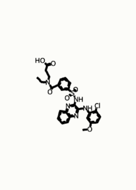 CCN(CCC(=O)O)C(=O)c1cccc(S(=O)(=O)Nc2nc3ccccc3nc2Nc2cc(OC)ccc2Cl)c1